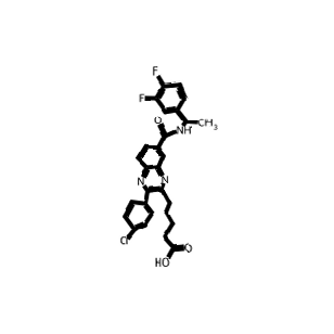 CC(NC(=O)c1ccc2nc(-c3ccc(Cl)cc3)c(CCCCC(=O)O)nc2c1)c1ccc(F)c(F)c1